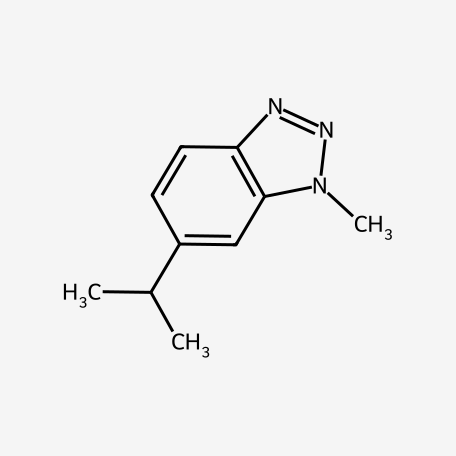 CC(C)c1ccc2nnn(C)c2c1